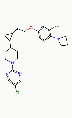 Clc1cnc(N2CCC([C@H]3C[C@H]3CCOc3ccc(N4CCC4)c(Cl)c3)CC2)nc1